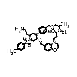 CCOC(C)COCc1ccc([C@H]2C[C@H](CCN)N(S(=O)(=O)c3ccc(C)cc3)C[C@@H]2OCc2ccc3c(c2)N(CCCOC)CCO3)cc1